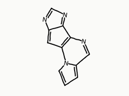 C1=Nc2cc3c(ncc4cccn43)c2=N1